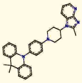 Cc1nc2ncccc2n1C1CCN(c2ccc(N3c4ccccc4C(C)(C)c4ccccc43)cc2)CC1